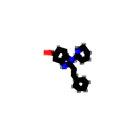 Oc1ccc2c(c1)nc(/C=C/c1ccccc1)n2-c1ccccn1